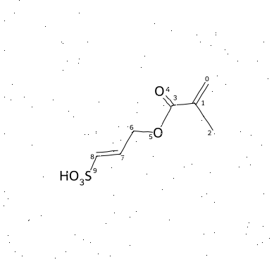 C=C(C)C(=O)OCC=CS(=O)(=O)O